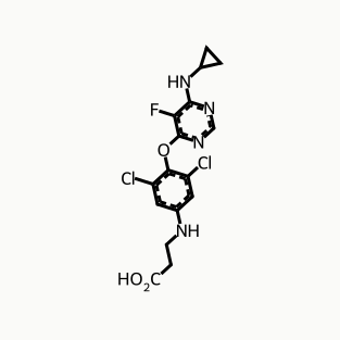 O=C(O)CCNc1cc(Cl)c(Oc2ncnc(NC3CC3)c2F)c(Cl)c1